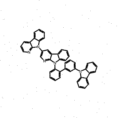 c1cc(-c2ccccc2-n2c3ccccc3c3cc(-n4c5ccccc5c5cccnc54)cnc32)cc(-n2c3ccccc3c3ccccc32)c1